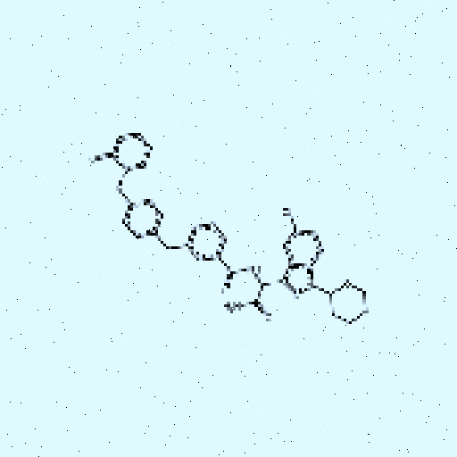 NC(=O)C(NC(=O)c1cncc(Cc2ccc(Cn3ccccc3=O)cc2)c1)c1nn(C2CCCCO2)c2ccc(Cl)cc12